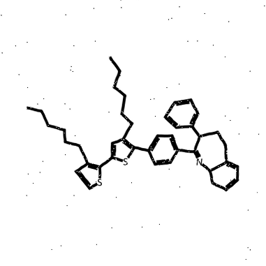 CCCCCCc1cc(-c2sccc2CCCCCC)sc1-c1ccc(C2=NC3CC=CC=C3CCC2c2ccccc2)cc1